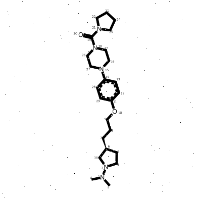 CN(C)N1CC[C@H](CCCOc2ccc(N3CCN(C(=O)N4CCCC4)CC3)cc2)C1